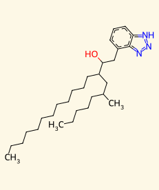 CCCCCCCCCCCCC(CC(C)CCCCC)C(O)Cc1cccc2[nH]nnc12